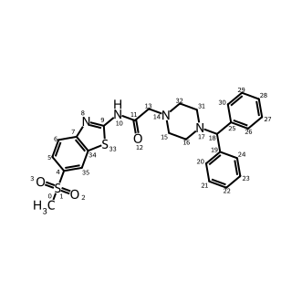 CS(=O)(=O)c1ccc2nc(NC(=O)CN3CCN(C(c4ccccc4)c4ccccc4)CC3)sc2c1